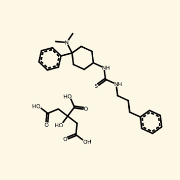 CN(C)C1(c2ccccc2)CCC(NC(=S)NCCCc2ccccc2)CC1.O=C(O)CC(O)(CC(=O)O)C(=O)O